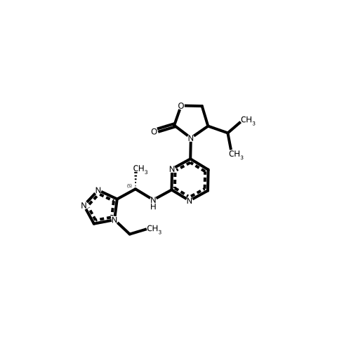 CCn1cnnc1[C@H](C)Nc1nccc(N2C(=O)OCC2C(C)C)n1